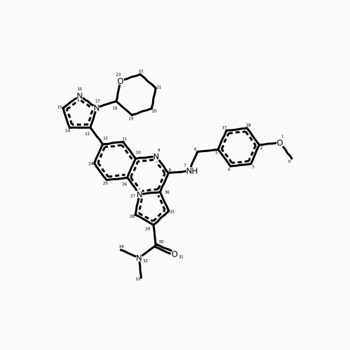 COc1ccc(CNc2nc3cc(-c4ccnn4C4CCCCO4)ccc3n3cc(C(=O)N(C)C)cc23)cc1